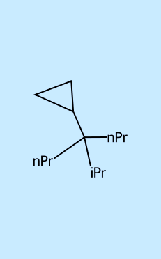 [CH2]CCC(CCC)(C(C)C)C1CC1